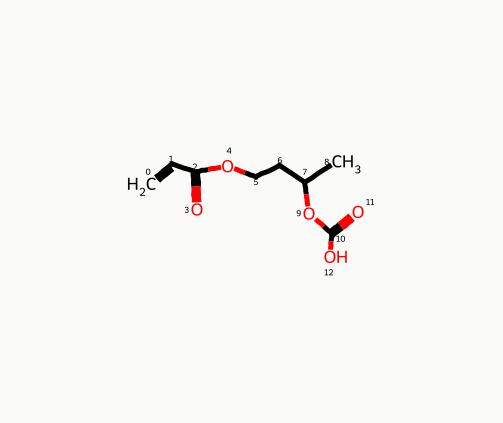 C=CC(=O)OCCC(C)OC(=O)O